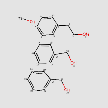 CCO.OCCc1ccccc1.OCc1ccccc1.OCc1ccccc1